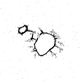 C[C@H]1CCC[C@H]2O[C@H]2C[C@@H](C(=O)Nc2ccccc2)OC(=O)C[C@H](O)C(C)(C)C(=O)[C@H](C)[C@H]1O